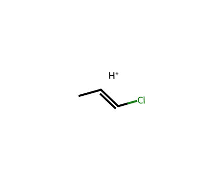 CC=CCl.[H+]